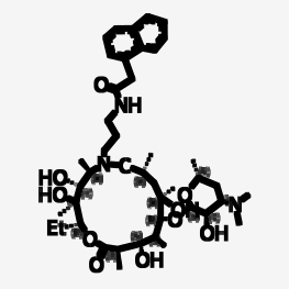 CC[C@H]1OC(=O)[C@H](C)[C@@H](O)[C@H](C)[C@@H](O[C@@H]2O[C@H](C)C[C@H](N(C)C)[C@H]2O)[C@](C)(O)C[C@@H](C)CN(CCCNC(=O)Cc2cccc3ccccc23)[C@H](C)[C@@H](O)[C@]1(C)O